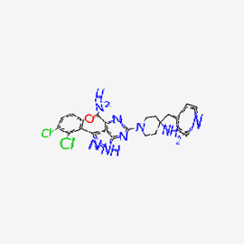 NC(=O)c1nc(N2CCC(N)(Cc3ccncc3)CC2)nc2[nH]nc(-c3cccc(Cl)c3Cl)c12